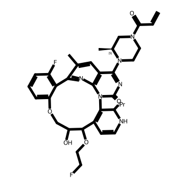 C=CC(=O)N1CCN(c2nc(=O)n3c4nc(c(C)cc24)-c2c(F)cccc2OCC(O)C(OCCF)C2=C3C(C(C)C)NC=C2)[C@@H](C)C1